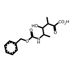 CC(NC(=O)OCc1ccccc1)C(O)C(C)C(=O)C(=O)O